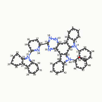 c1ccc(-n2c3ccccc3c3c4nnc(-c5cccc(-n6c7ccccc7c7ccccc76)n5)nc4c4c5ccccc5n(-c5ccccc5)c4c32)cc1